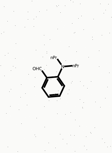 CCCN(CCC)c1ccccc1C=O